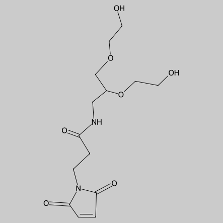 O=C(CCN1C(=O)C=CC1=O)NCC(COCCO)OCCO